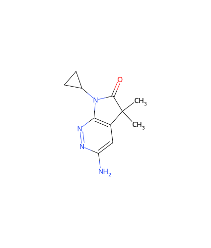 CC1(C)C(=O)N(C2CC2)c2nnc(N)cc21